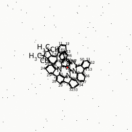 CC1(C)CC(C)(C)c2c(-c3ccccc3-c3cccc(-n4c5ccccc5c5ccc6c7ccccc7n(-c7nc(-c8ccccc8)nc(-c8ccccc8-c8ccccc8)n7)c6c54)c3)cccc21